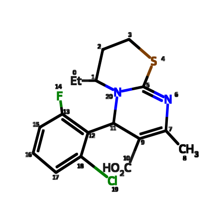 CCC1CCSC2=NC(C)=C(C(=O)O)C(c3c(F)cccc3Cl)N21